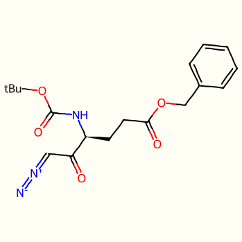 CC(C)(C)OC(=O)N[C@@H](CCC(=O)OCc1ccccc1)C(=O)C=[N+]=[N-]